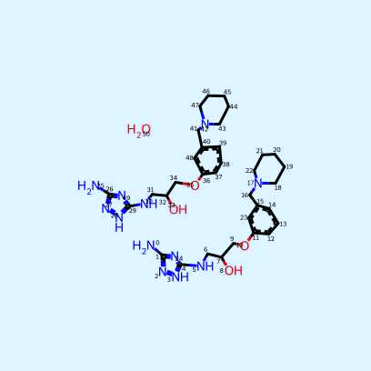 Nc1n[nH]c(NCC(O)COc2cccc(CN3CCCCC3)c2)n1.Nc1n[nH]c(NCC(O)COc2cccc(CN3CCCCC3)c2)n1.O